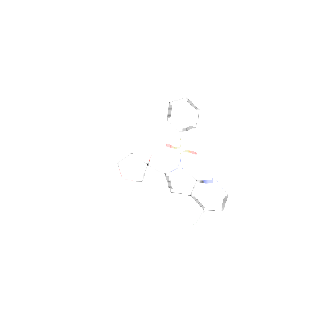 O=S(=O)(c1ccccc1)n1c(C2(O)CCOC2)cc2c(Cl)ccnc21